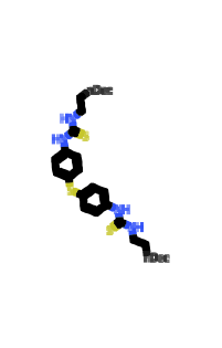 CCCCCCCCCCCCNC(=S)Nc1ccc(Sc2ccc(NC(=S)NCCCCCCCCCCCC)cc2)cc1